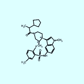 Cc1ccc(F)c(S(=O)(=O)Nc2ccc3c(c2)c([C@@H]2CCN(C(=O)C(C)C4CCCC4)C[C@@H]2C)cn3C)c1